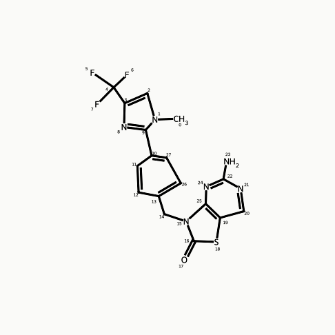 Cn1cc(C(F)(F)F)nc1-c1ccc(Cn2c(=O)sc3cnc(N)nc32)cc1